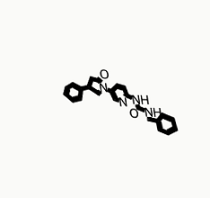 O=C(NCc1ccccc1)Nc1ccc(N2CC(c3ccccc3)CC2=O)cn1